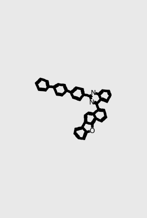 c1ccc(-c2ccc(-c3ccc(-c4nc(-c5cccc6c5ccc5c7ccccc7oc65)c5ccccc5n4)cc3)cc2)cc1